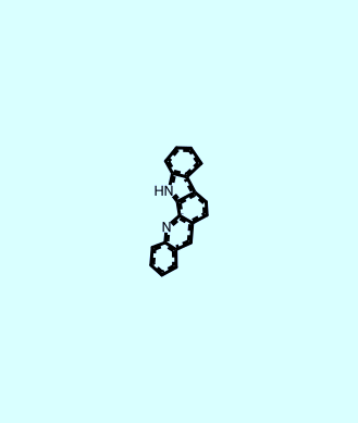 c1ccc2nc3c(ccc4c5ccccc5[nH]c43)cc2c1